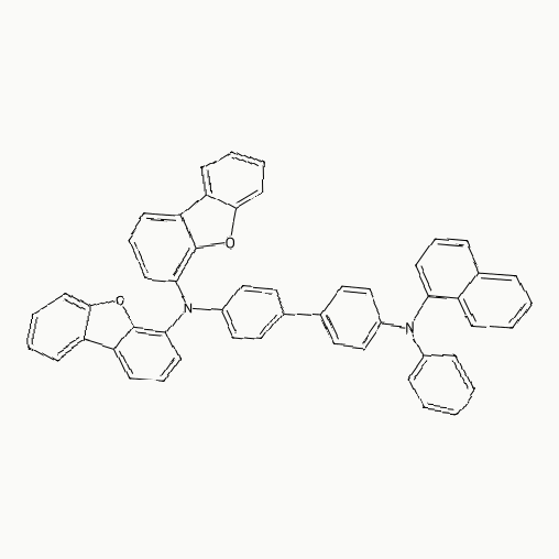 c1ccc(N(c2ccc(-c3ccc(N(c4cccc5c4oc4ccccc45)c4cccc5c4oc4ccccc45)cc3)cc2)c2cccc3ccccc23)cc1